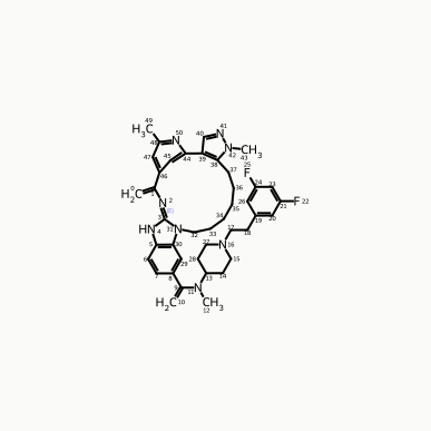 C=C1/N=C2\Nc3ccc(C(=C)N(C)C4CCN(CCc5cc(F)cc(F)c5)CC4)cc3N2CCCCCCc2c(cnn2C)-c2cc1cc(C)n2